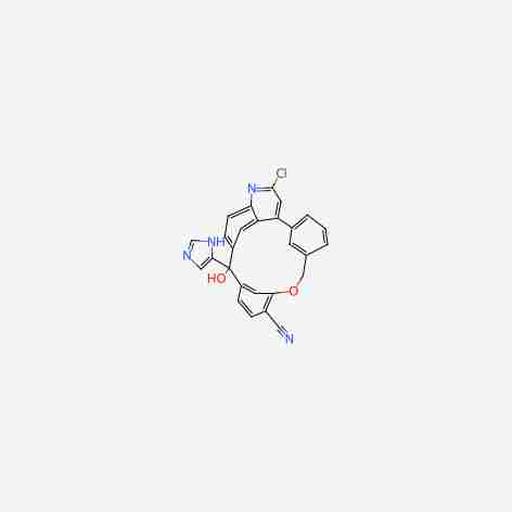 N#Cc1ccc2cc1OCc1cccc(c1)-c1cc(Cl)nc3ccc(cc13)C2(O)c1cnc[nH]1